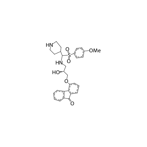 COc1ccc(S(=O)(=O)C(NC[C@H](O)COc2cccc3c2-c2ccccc2C3=O)C2CCNCC2)cc1